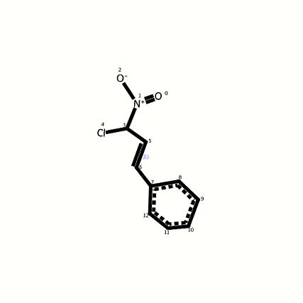 O=[N+]([O-])C(Cl)/C=C/c1ccccc1